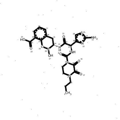 CCCN1CCN(C(=O)N[C@@H](C(=O)N[C@H]2Cc3cccc(C(=O)O)c3OB2O)c2csc(N)n2)C(=O)C1=O